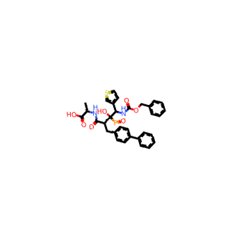 CC(NC(=O)C(Cc1ccc(-c2ccccc2)cc1)C(O)(P=O)C(NC(=O)OCc1ccccc1)c1ccsc1)C(=O)O